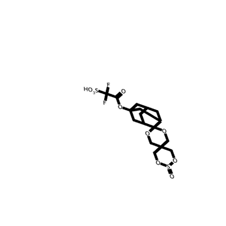 O=C(OC12CC3CC(C1)C1(OCC4(COS(=O)OC4)CO1)C(C3)C2)C(F)(F)S(=O)(=O)O